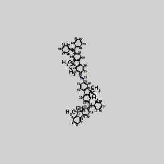 CC1(C)c2ccccc2-c2ccc(N(c3ccccc3)c3ccc4c(c3)C(C)(C)c3cc(/C=C/c5ccc6c(c5)C(C)(C)c5cc(N(c7ccccc7)c7ccccc7)ccc5-6)ccc3-4)cc21